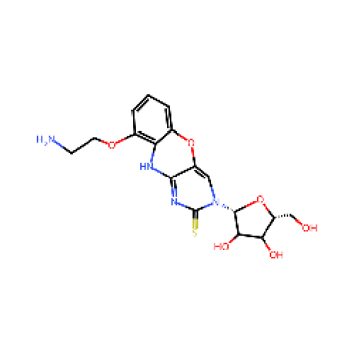 NCCOc1cccc2c1Nc1nc(=S)n([C@@H]3O[C@H](CO)C(O)C3O)cc1O2